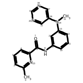 Cc1cccc(C(=O)Nc2cccc(N(C)c3cncnc3)c2)n1